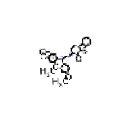 COc1ccc(/C(=C\C=C2/C=Cc3c(sc4ccccc34)C2=O)c2ccc(OC)cc2OC)cc1